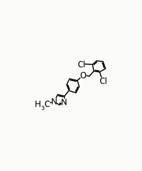 Cn1cnc(-c2ccc(OCc3c(Cl)cccc3Cl)cc2)c1